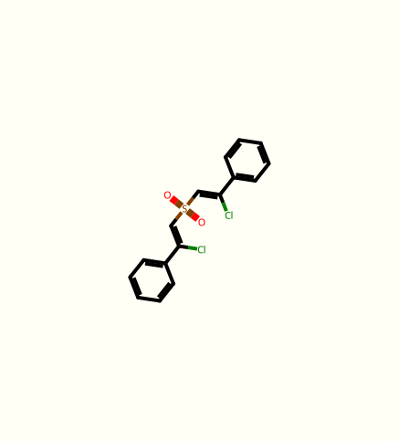 O=S(=O)(C=C(Cl)c1ccccc1)C=C(Cl)c1ccccc1